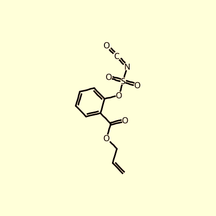 C=CCOC(=O)c1ccccc1OS(=O)(=O)N=C=O